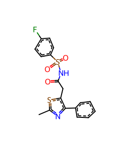 Cc1nc(-c2ccccc2)c(CC(=O)NS(=O)(=O)c2ccc(F)cc2)s1